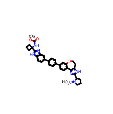 CC(C)(C)OC(=O)NC1(c2nc3cc(-c4ccc(-c5ccc6c(c5)OCCc5[nH]c(C7CCCN7C(=O)O)nc5-6)cc4)ccc3[nH]2)CCC1